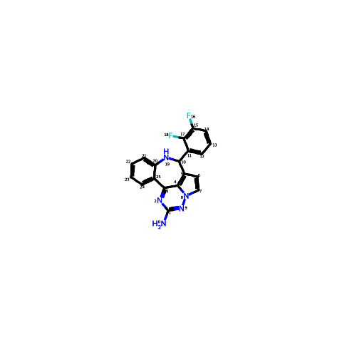 Nc1nc2c3c(ccn3n1)C(c1cccc(F)c1F)Nc1ccccc1-2